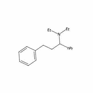 CCCC(CCc1ccccc1)N(CC)CC